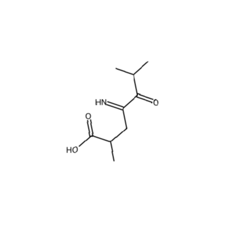 CC(C)C(=O)C(=N)CC(C)C(=O)O